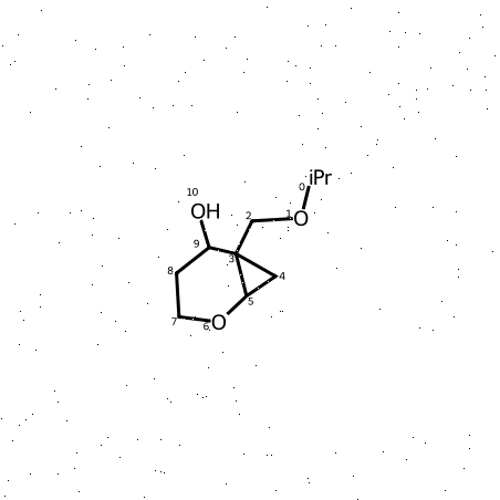 CC(C)OCC12CC1OCCC2O